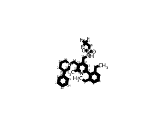 CCc1cccc(CC)c1-c1cc(CNS(=O)(=O)CC(F)(F)F)c(CN2CCCC(c3ccccc3)C2)c(C)n1